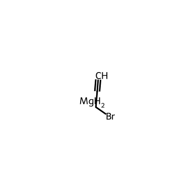 C#CCBr.[MgH2]